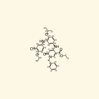 CCOC(=O)c1cn(Cc2ccccc2)c(=O)cc1Nc1ccc(OC(C)C)c(Nc2ccc(OCC)c(Cl)c2)c1